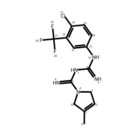 CC1=CCN(C(=N)NC(=N)Nc2ccc(Cl)c(C(F)(F)F)c2)C1